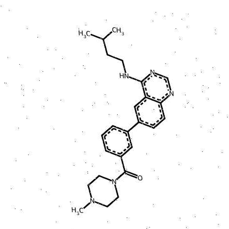 CC(C)CCNc1ncnc2ccc(-c3cccc(C(=O)N4CCN(C)CC4)c3)cc12